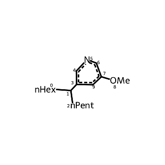 CCCCCCC(CCCCC)c1cncc(OC)c1